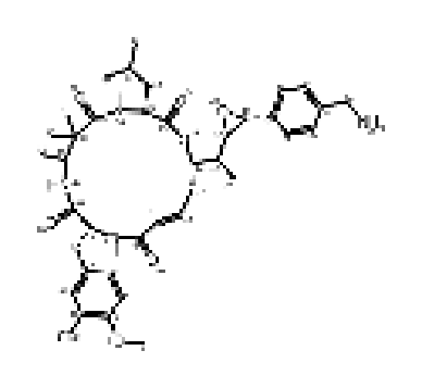 COc1ccc(C[C@H]2NC(=O)/C=C/C[C@@H]([C@H](C)[C@H]3O[C@@H]3c3ccc(CN)cc3)OC(=O)[C@H](CC(C)C)NC(=O)C(C)(C)C(C)NC2=O)cc1Cl